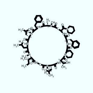 CC[C@H](C)[C@H]1C(=O)NCC(=O)N(C)[C@@H](CC(C)C)C(=O)N[C@@H]([C@@H](C)O)C(=O)N2CCCC[C@H]2C(=O)N[C@@H](Cc2ccccc2)C(=O)NC(C(=O)N2CCCCC2)CC(=O)N(C)[C@@H](C)C(=O)NC(Cc2ccccc2)C(=O)N(C)[C@@H](CC(C)C)C(=O)NC(CC(C)C)C(=O)N1C